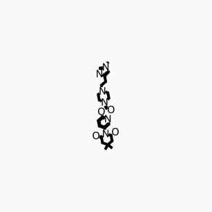 Cn1cnc(CCN2CCN(C(=O)Oc3ccc(N4C(=O)CC(C)(C)CC4=O)cn3)CC2)c1